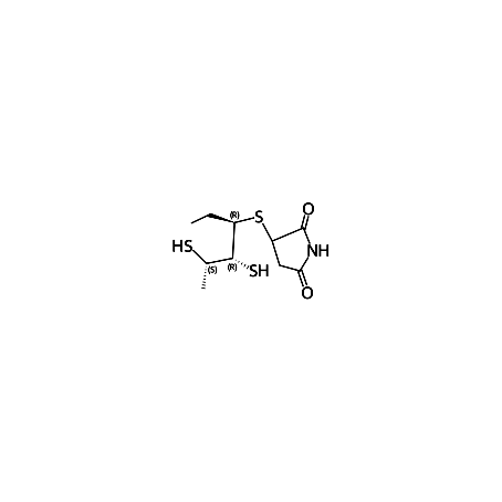 CC[C@@H](SC1CC(=O)NC1=O)[C@H](S)[C@H](C)S